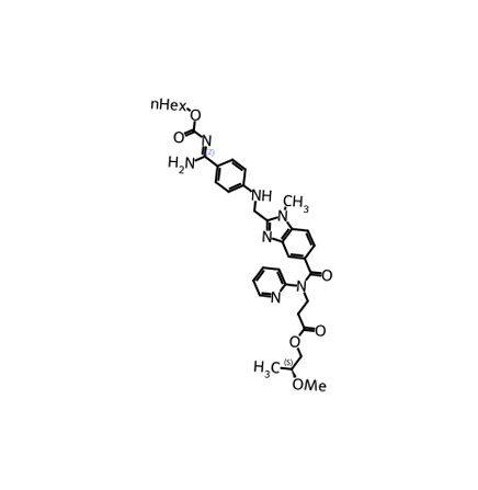 CCCCCCOC(=O)/N=C(\N)c1ccc(NCc2nc3cc(C(=O)N(CCC(=O)OC[C@H](C)OC)c4ccccn4)ccc3n2C)cc1